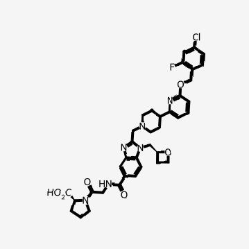 O=C(NCC(=O)N1CCC[C@H]1C(=O)O)c1ccc2c(c1)nc(CN1CCC(c3cccc(OCc4ccc(Cl)cc4F)n3)CC1)n2C[C@@H]1CCO1